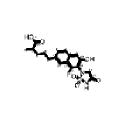 CC(CCCc1ccc2cc(O)c(N3CC(=O)NS3(=O)=O)c(F)c2c1)C(=O)O